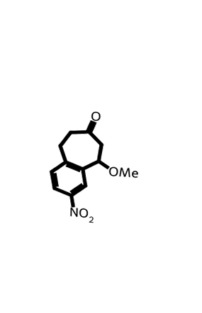 COC1CC(=O)CCc2ccc([N+](=O)[O-])cc21